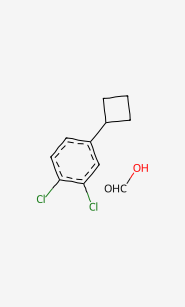 Clc1ccc(C2CCC2)cc1Cl.O=CO